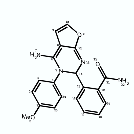 COc1ccc(N2C(N)=c3ccoc3=NC2c2ccccc2C(N)=O)cc1